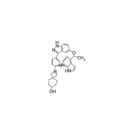 CC(Oc1ccc2[nH]nc(-c3ccc(N4CC5(CCC(O)CC5)C4)nc3)c2c1)c1ccnc2[nH]ccc12